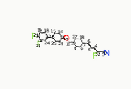 N#CC(F)=CC=CC1CCC(COC2CCC(c3ccc(F)c(F)c3)CC2)CC1